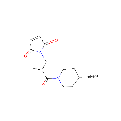 CCCCCC1CCN(C(=O)C(C)CN2C(=O)C=CC2=O)CC1